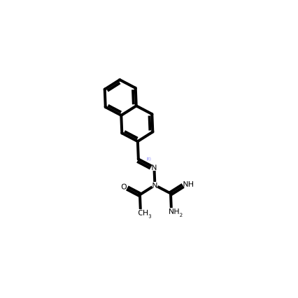 CC(=O)N(/N=C/c1ccc2ccccc2c1)C(=N)N